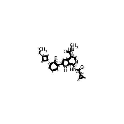 CC[C@H]1C[C@H](c2cccc(-c3cc4c(C(=O)NC)cnc(NC(=O)C5CC5)c4[nH]3)c2F)C1